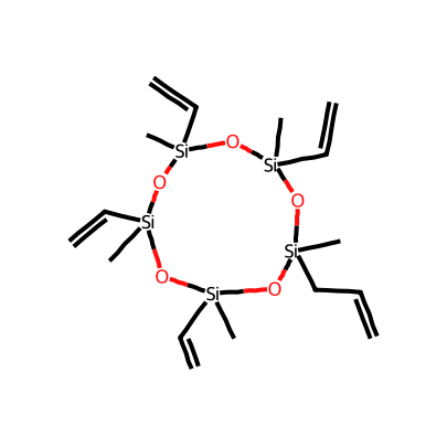 C=CC[Si]1(C)O[Si](C)(C=C)O[Si](C)(C=C)O[Si](C)(C=C)O[Si](C)(C=C)O1